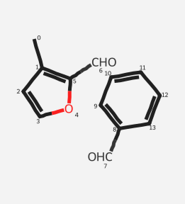 Cc1ccoc1C=O.O=Cc1ccccc1